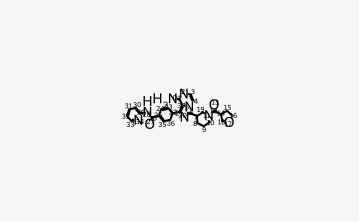 Nc1nccn2c(C3CCCN(C(=O)C4CCOC4)C3)nc(C3C=CC(C(=O)Nc4ccccn4)=CC3)c12